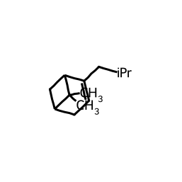 CC(C)CC1=CCC2CC1C2(C)C